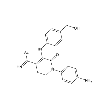 CC(=O)C(=N)C1=C(Nc2ccc(CO)cc2)C(=O)N(c2ccc(N)cc2)CC1